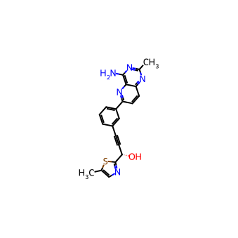 Cc1nc(N)c2nc(-c3cccc(C#C[C@H](O)c4ncc(C)s4)c3)ccc2n1